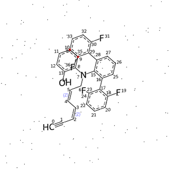 C#C/C=C\C=C/CN(c1ccccc1O)c1c(-c2c(F)cccc2F)cccc1-c1c(F)cccc1F